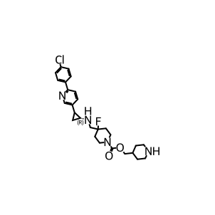 O=C(OCC1CCNCC1)N1CCC(F)(CN[C@@H]2CC2c2ccc(-c3ccc(Cl)cc3)nc2)CC1